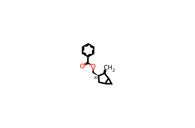 C=C1C2CC2C[C@H]1COC(=O)c1ccccc1